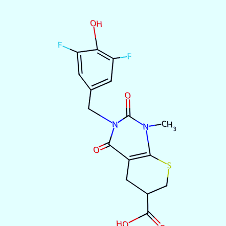 Cn1c2c(c(=O)n(Cc3cc(F)c(O)c(F)c3)c1=O)CC(C(=O)O)CS2